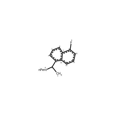 [CH2]CCCCC(C)c1cccc2c(F)cccc12